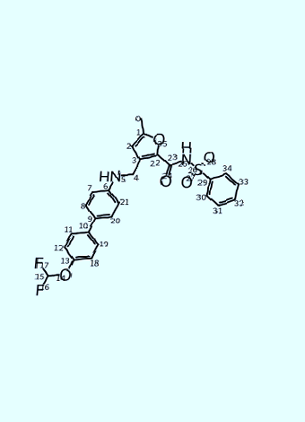 Cc1cc(CNc2ccc(-c3ccc(OC(F)F)cc3)cc2)c(C(=O)NS(=O)(=O)c2ccccc2)o1